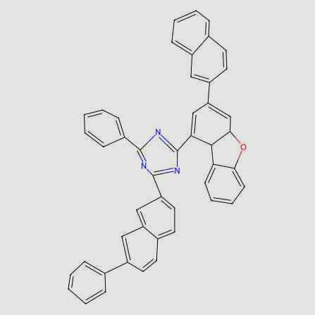 C1=C(c2ccc3ccccc3c2)C=C(c2nc(-c3ccccc3)nc(-c3ccc4ccc(-c5ccccc5)cc4c3)n2)C2c3ccccc3OC12